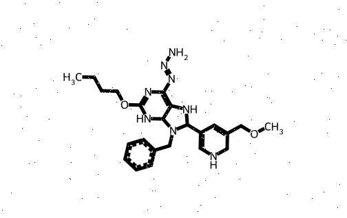 CCCCOC1=NC(N=NN)=C2NC(C3=CNCC(COC)=C3)N(Cc3ccccc3)C2N1